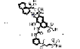 O=C(Nc1cccc(S(=O)(=O)CCSS(=O)(=O)O)c1)Nc1cc(S(=O)(=O)O)cc2cc(S(=O)(=O)O)c(/N=N/c3ccc4ccccc4c3S(=O)(=O)O)c(O)c12